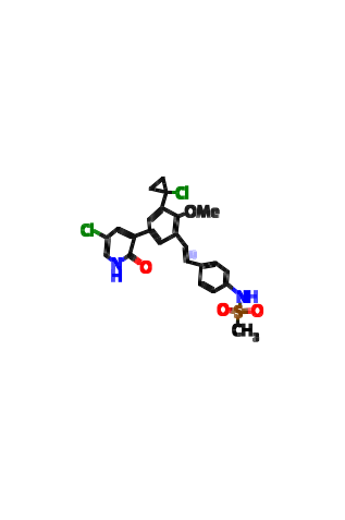 COc1c(/C=C/c2ccc(NS(C)(=O)=O)cc2)cc(-c2cc(Cl)c[nH]c2=O)cc1C1(Cl)CC1